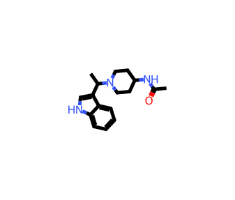 CC(=O)NC1CCN(C(C)c2c[nH]c3ccccc23)CC1